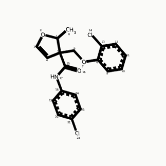 CC1OC=CC1(COc1ccccc1Cl)C(=O)Nc1ccc(Cl)cc1